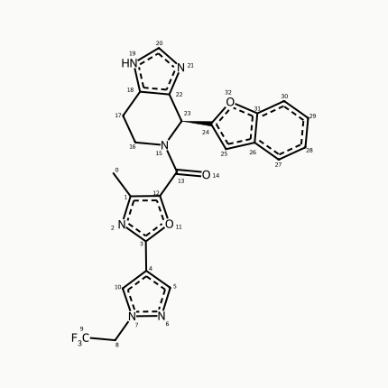 Cc1nc(-c2cnn(CC(F)(F)F)c2)oc1C(=O)N1CCc2[nH]cnc2[C@H]1c1cc2ccccc2o1